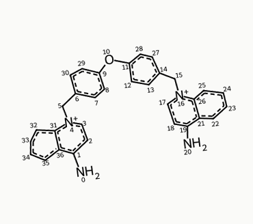 Nc1cc[n+](Cc2ccc(Oc3ccc(C[n+]4ccc(N)c5ccccc54)cc3)cc2)c2ccccc12